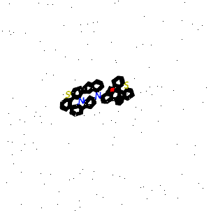 c1ccc2c(c1)Sc1ccccc1C21c2ccccc2-c2ccc(N(c3ccc4c5ccccc5n(-c5cccc6sc7ccccc7c56)c4c3)c3cccc4ccccc34)c3cccc1c23